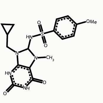 COc1ccc(S(=O)(=O)NC2N(C)c3c([nH]c(=O)[nH]c3=O)N2CC2CC2)cc1